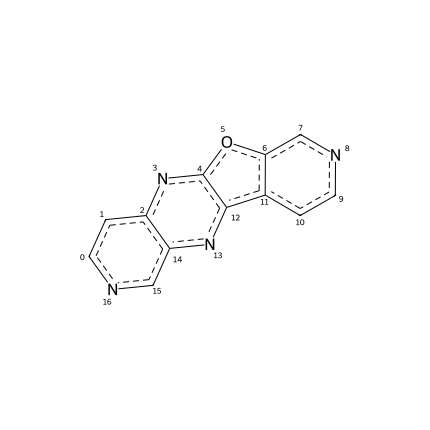 c1cc2nc3oc4cnccc4c3nc2cn1